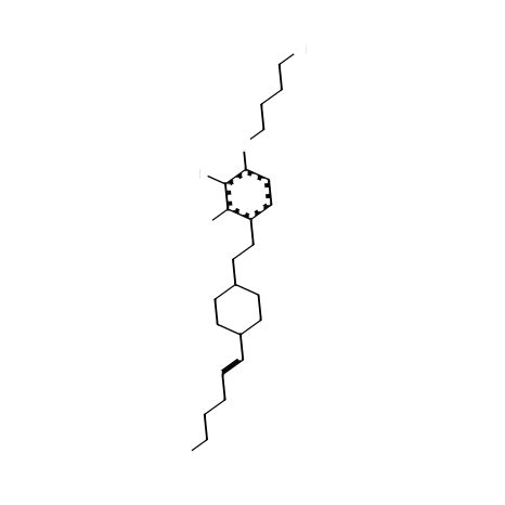 CCCCCOc1ccc(CCC2CCC(/C=C/CCCF)CC2)c(F)c1F